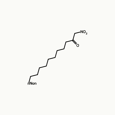 CCCCCCCCCCCCCCCCCCC(=O)C[N+](=O)[O-]